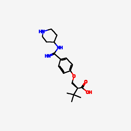 CC(C)(C)[C@@H](COc1ccc(C(=N)NC2CCNCC2)cc1)C(=O)O